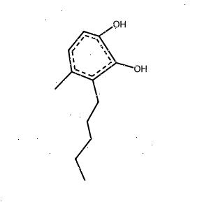 CCCCCc1c(C)ccc(O)c1O